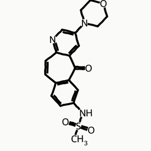 CS(=O)(=O)Nc1ccc2ccc3ncc(N4CCOCC4)cc3c(=O)c2c1